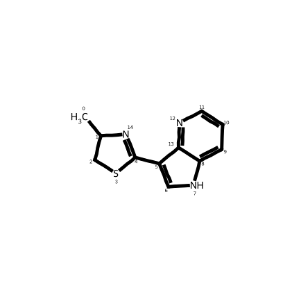 CC1CSC(c2c[nH]c3cccnc23)=N1